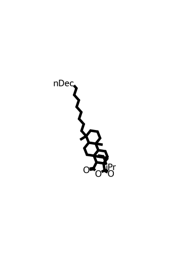 CCCCCCCCCCCCCCCCCCC1(C)CCCC2(C)C1CCC13C=C(C(C)C)C(CC21)C1C(=O)OC(=O)C13